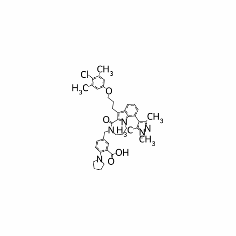 Cc1cc(OCCCc2c3n(c4c(-c5c(C)nn(C)c5C)cccc24)CCCN(Cc2ccc(N4CCCC4)c(C(=O)O)c2)C3=O)cc(C)c1Cl